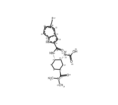 CN(C)C(=O)[C@H]1CC[C@H](NC(=O)c2cc3cc(F)ccc3[nH]2)[C@H](NC(=O)O)C1